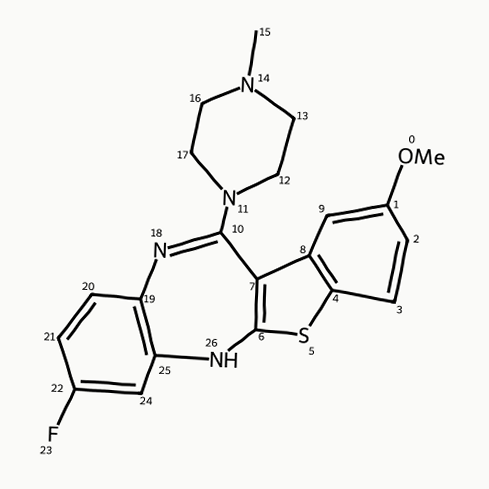 COc1ccc2sc3c(c2c1)C(N1CCN(C)CC1)=Nc1ccc(F)cc1N3